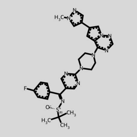 Cn1cc(-c2cc3c(N4CCN(c5ncc(C(=N[S@@+]([O-])C(C)(C)C)c6ccc(F)cc6)cn5)CC4)ncnn3c2)cn1